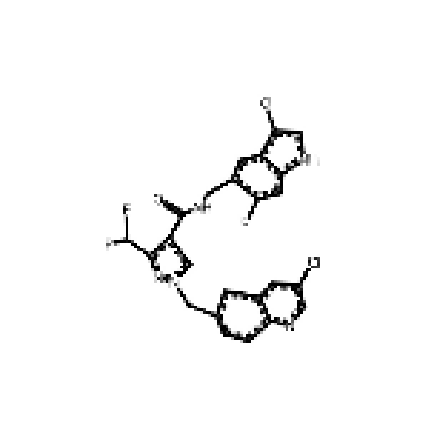 O=C(NCc1cc2c(Cl)c[nH]c2cc1F)c1cn(Cc2ccc3ncc(Cl)cc3c2)nc1C(F)F